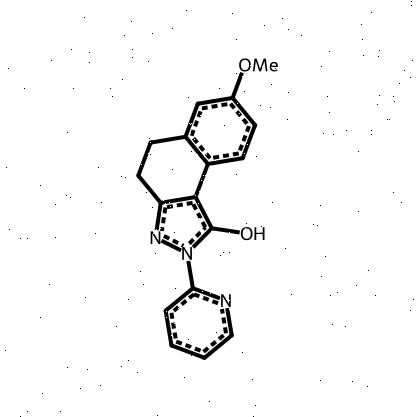 COc1ccc2c(c1)CCc1nn(-c3ccccn3)c(O)c1-2